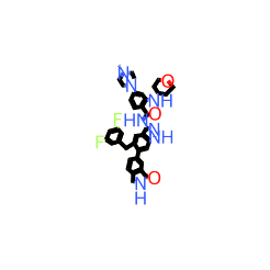 CN1CCN(c2ccc(C(=O)Nc3n[nH]c4cc(-c5ccc6c(c5)C(=O)NC6)c(Cc5cc(F)cc(F)c5)cc34)c(NC3CCOCC3)c2)CC1